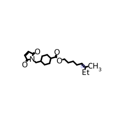 CC/C(C)=C\CCCCOC(=O)C1CCC(CN2C(=O)C=CC2=O)CC1